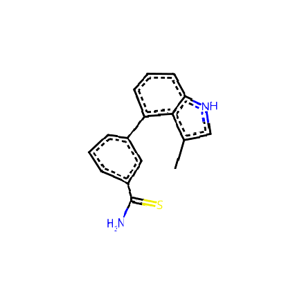 Cc1c[nH]c2cccc(-c3cccc(C(N)=S)c3)c12